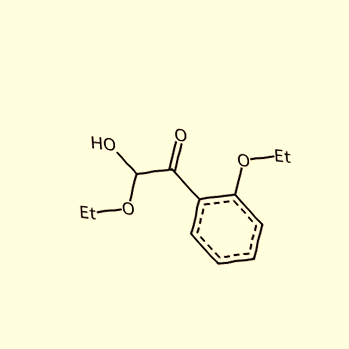 CCOc1ccccc1C(=O)C(O)OCC